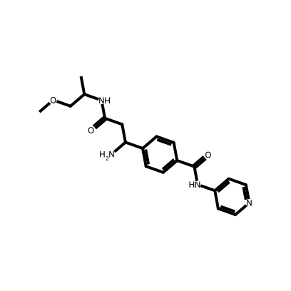 COCC(C)NC(=O)CC(N)c1ccc(C(=O)Nc2ccncc2)cc1